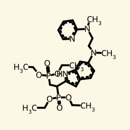 CCOP(=O)(CC(c1cc2ccc(N(C)CCN(C)c3ccccn3)cc2[nH]1)P(=O)(OCC)OCC)OCC